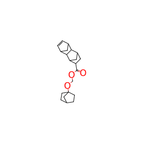 O=C(OCOC12CCC(CC1)C2)C1CC2CC1C1C3C=CC(C3)C21